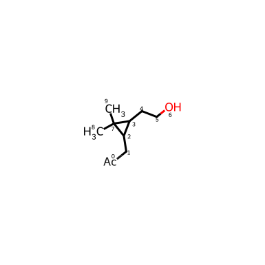 CC(=O)CC1C(CCO)C1(C)C